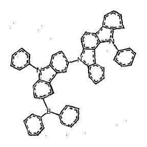 c1ccc(B(c2ccccc2)c2ccc3c(c2)c2cc(-n4c5ccccc5c5c4ccc4c6ccccc6n(-c6ccccc6)c45)ccc2n3-c2ccccc2)cc1